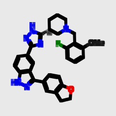 COc1cccc(F)c1CN1CCC[C@@H](c2nc(-c3ccc4[nH]nc(-c5ccc6c(c5)CCO6)c4c3)n[nH]2)C1